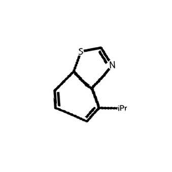 CC(C)C1=CC=CC2SC=NC12